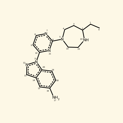 CCC1CCN(c2nccc(-n3ncc4cc(N)ccc43)n2)CCN1